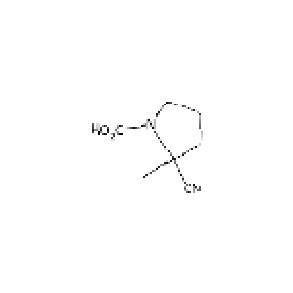 CC1(C#N)CCCN1C(=O)O